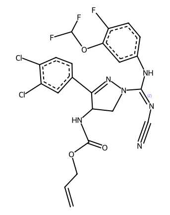 C=CCOC(=O)NC1CN(/C(=N\C#N)Nc2ccc(F)c(OC(F)F)c2)N=C1c1ccc(Cl)c(Cl)c1